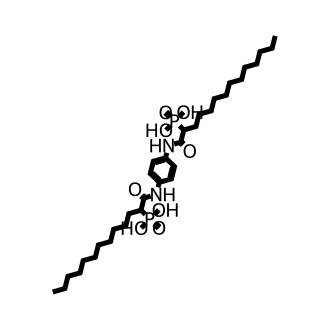 CCCCCCCCCCCCC(C(=O)Nc1ccc(NC(=O)C(CCCCCCCCCCC)P(=O)(O)O)cc1)P(=O)(O)O